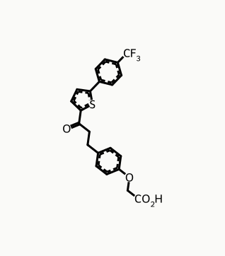 O=C(O)COc1ccc(CCC(=O)c2ccc(-c3ccc(C(F)(F)F)cc3)s2)cc1